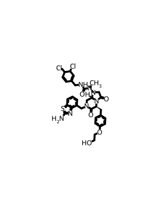 CN(C(=O)NCC1=CC(Cl)C(Cl)C=C1)N1CC(=O)N2[C@@H](Cc3ccc(OCCO)cc3)C(=O)N(Cc3cccc4sc(N)nc34)C[C@@H]21